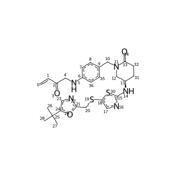 C=CC(=O)CNc1ccc(CN2C[C@H](Nc3ncc(SCc4ncc(C(C)(C)C)o4)s3)CCC2=O)cc1